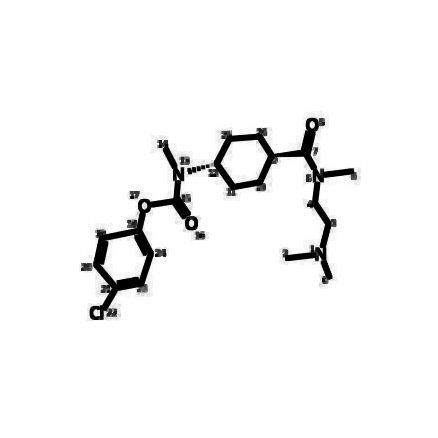 CN(C)CCN(C)C(=O)[C@H]1CC[C@H](N(C)C(=O)Oc2ccc(Cl)cc2)CC1